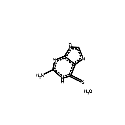 Nc1nc2[nH]cnc2c(=S)[nH]1.O